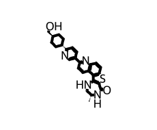 C[C@@H]1CNc2c(sc3ccc4nc(-c5ccc([C@H]6CC[C@H](CO)CC6)nc5)ccc4c23)C(=O)N1